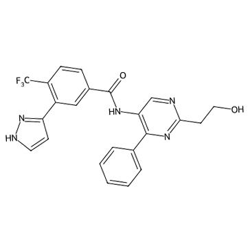 O=C(Nc1cnc(CCO)nc1-c1ccccc1)c1ccc(C(F)(F)F)c(-c2cc[nH]n2)c1